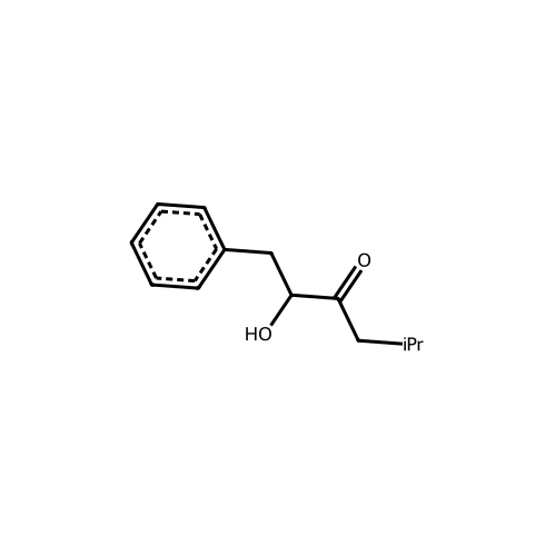 CC(C)CC(=O)C(O)Cc1ccccc1